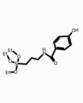 CCO[Si](CCCNC(=O)c1ccc(O)cc1)(OCC)OCC